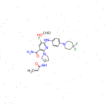 C=CC(=O)N[C@H]1CCN(c2nc(Nc3ccc(N4CCC(F)(F)CC4)cc3)c(F)cc2C(N)=O)C1.O=CO